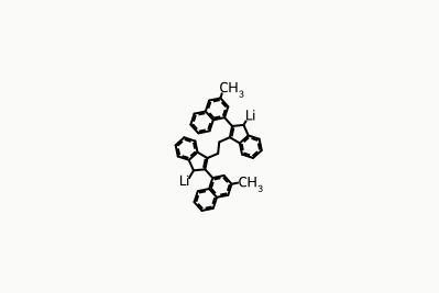 [Li][CH]1C(c2cc(C)cc3ccccc23)=C(CCC2=C(c3cc(C)cc4ccccc34)[CH]([Li])c3ccccc32)c2ccccc21